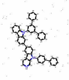 c1ccc(-c2ccc(-n3c4ccc(-c5ccc6c7ccccc7n(-c7cc(-c8ccccc8)cc(-c8ccccc8)c7)c6c5)cc4c4ccncc43)cc2)cc1